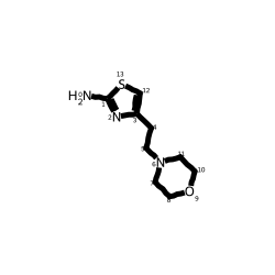 Nc1nc(CCN2CCOCC2)cs1